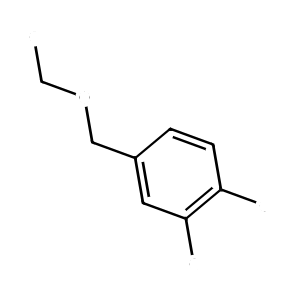 ClCOCc1ccc(Cl)c(Cl)c1